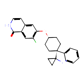 NC1([C@]2(c3ccccc3)CC[C@H](Oc3cc4cc[nH]c(=O)c4cc3Cl)CC2)CC1